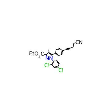 CCOC(=O)c1nn(-c2ccc(Cl)cc2Cl)c(-c2ccc(C#CCCC#N)cc2)c1C